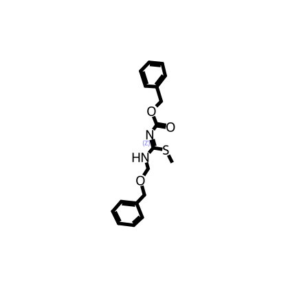 CS/C(=N\C(=O)OCc1ccccc1)NCOCc1ccccc1